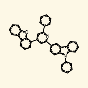 c1ccc(-c2cc(-c3cccc4c3oc3ccccc34)cc(-c3ccc4c(c3)c3ccccc3n4-c3ccccc3)n2)cc1